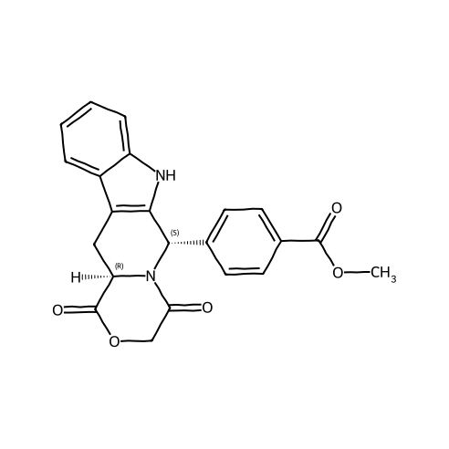 COC(=O)c1ccc([C@H]2c3[nH]c4ccccc4c3C[C@@H]3C(=O)OCC(=O)N23)cc1